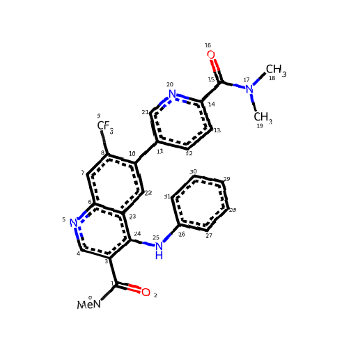 CNC(=O)c1cnc2cc(C(F)(F)F)c(-c3ccc(C(=O)N(C)C)nc3)cc2c1Nc1ccccc1